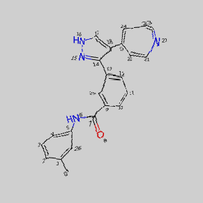 Cc1cccc(NC(=O)c2cccc(-c3n[nH]cc3-c3ccncc3)c2)c1